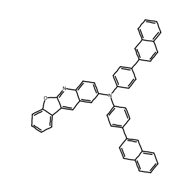 c1ccc2cc(-c3ccc(N(c4ccc(-c5ccc6ccccc6c5)cc4)c4ccc5nc6oc7ccccc7c6cc5c4)cc3)ccc2c1